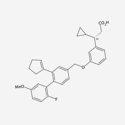 COc1ccc(F)c(-c2ccc(COc3cccc([C@@H](CC(=O)O)C4CC4)c3)cc2C2=CCCC2)c1